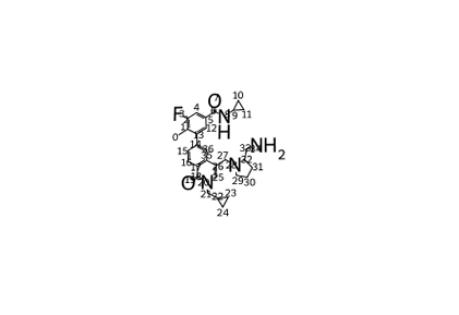 Cc1c(F)cc(C(=O)NC2CC2)cc1-c1ccc2c(=O)n(CC3CC3)cc(CN3CCC[C@@H]3CN)c2c1